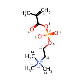 C=C(C)C(=O)OP(=O)([O-])OCC[N+](C)(C)C